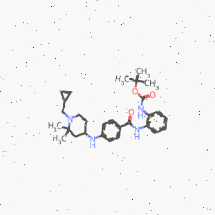 CC(C)(C)OC(=O)Nc1ccccc1NC(=O)c1ccc(NC2CCN(CC3CC3)C(C)(C)C2)cc1